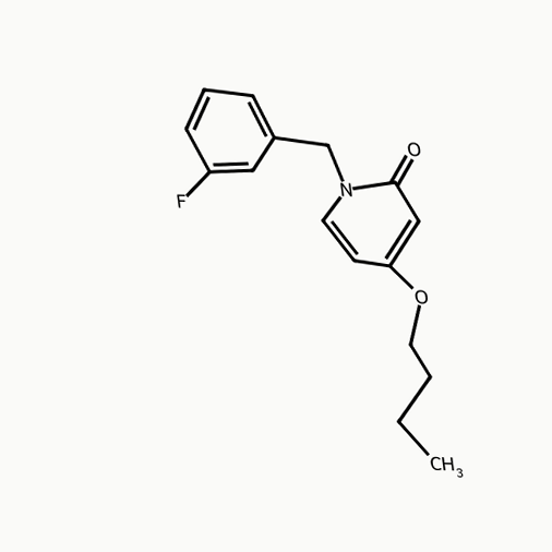 CCCCOc1ccn(Cc2cccc(F)c2)c(=O)c1